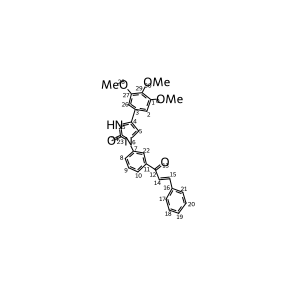 COc1cc(-c2cn(-c3cccc(C(=O)C=Cc4ccccc4)c3)c(=O)[nH]2)cc(OC)c1OC